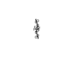 C=CC(=O)OCCOC(C)(C)c1c(F)c(F)c(C(C)(C)OCCOC(=O)C=C)c(F)c1F